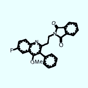 COc1c(-c2ccccc2)c(CCN2C(=O)c3ccccc3C2=O)nc2ccc(F)cc12